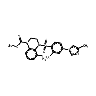 Cc1cn(-c2ccc(S(=O)(=O)N3CCN(C(=O)OC(C)(C)C)c4cccc(C)c43)c(C)c2)cn1